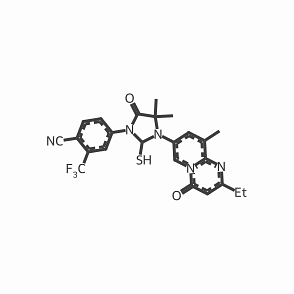 CCc1cc(=O)n2cc(N3C(S)N(c4ccc(C#N)c(C(F)(F)F)c4)C(=O)C3(C)C)cc(C)c2n1